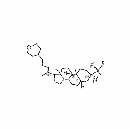 C[C@@H](CCCC1CCOCC1)C1CCC2C3CC[C@H]4C[C@](O)(C(F)(F)F)CCC4(C)[C@H]3CCC21C